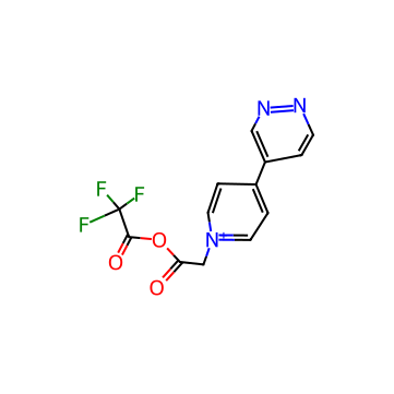 O=C(C[n+]1ccc(-c2ccnnc2)cc1)OC(=O)C(F)(F)F